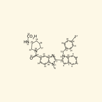 Cn1c(-c2cc3ccccc3n2Cc2ccc(I)cc2)nc2cc(C(=O)N3CCC[C@@H](NC(=O)O)C3)ccc21